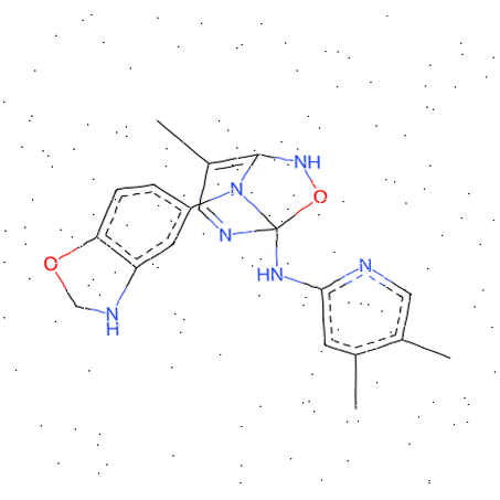 CC1=C2NOC(Nc3cc(C)c(C)cn3)(N=C1)N2c1ccc2c(c1)NCO2